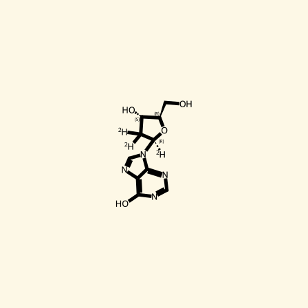 [2H]C1([2H])[C@H](O)[C@@H](CO)O[C@@]1([2H])n1cnc2c(O)ncnc21